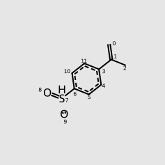 C=C(C)c1ccc([SH](=O)=O)cc1